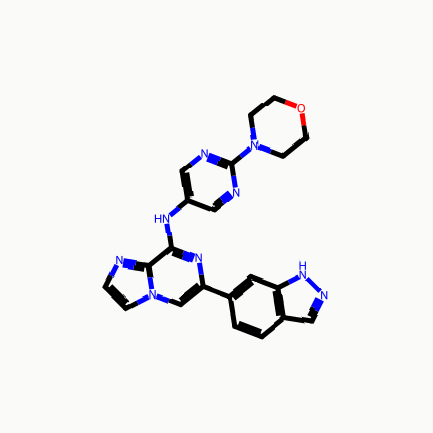 c1cn2cc(-c3ccc4cn[nH]c4c3)nc(Nc3cnc(N4CCOCC4)nc3)c2n1